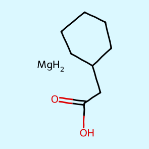 O=C(O)CC1CCCCC1.[MgH2]